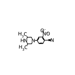 CC1CN(c2ccc(C#N)c([N+](=O)[O-])c2)CC(C)N1